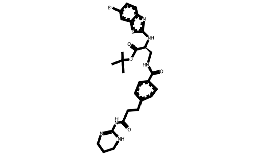 CC(C)(C)OC(=O)[C@H](CNC(=O)c1ccc(CCC(=O)NC2=NCCCN2)cc1)Nc1nc2ccc(Br)cc2s1